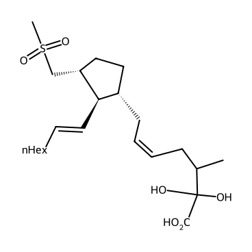 CCCCCC/C=C/[C@@H]1[C@@H](C/C=C\CC(C)C(O)(O)C(=O)O)CC[C@H]1CS(C)(=O)=O